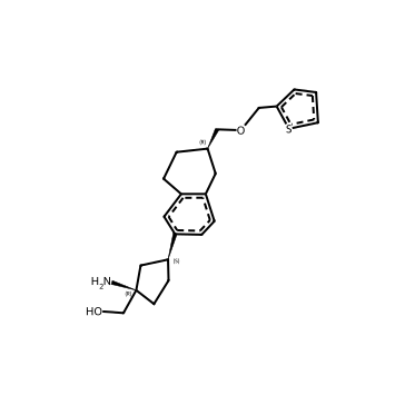 N[C@]1(CO)CC[C@H](c2ccc3c(c2)CC[C@@H](COCc2cccs2)C3)C1